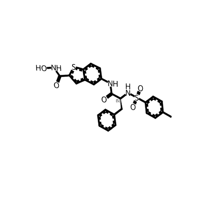 Cc1ccc(S(=O)(=O)N[C@@H](Cc2ccccc2)C(=O)Nc2ccc3sc(C(=O)NO)cc3c2)cc1